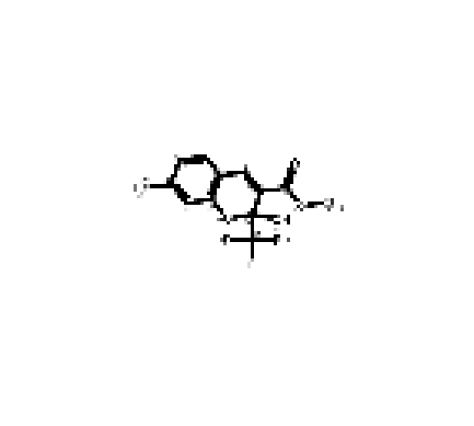 COC(=O)C1=Cc2ccc(C)cc2OC1(O)C(F)(F)F